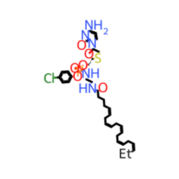 CC/C=C\C/C=C\C/C=C\C/C=C\C/C=C\CCCC(=O)NCCNP(=O)(OC[C@@H]1OC(n2ccc(N)nc2=O)CS1)Oc1ccc(Cl)cc1